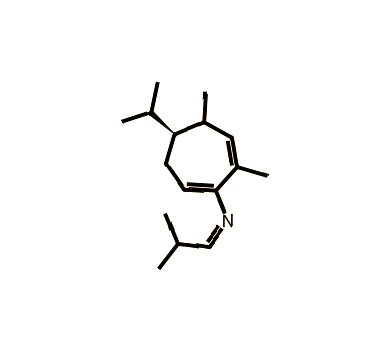 CC1=CC(C)[C@H](C(C)C)CC=C1/N=C\C(C)C